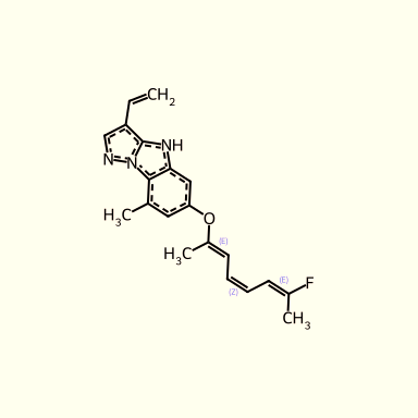 C=Cc1cnn2c1[nH]c1cc(O/C(C)=C/C=C\C=C(/C)F)cc(C)c12